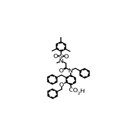 Cc1cc(C)c(S(=O)(=O)N(C)CC(=O)N(Cc2ccccc2)c2ccc(C(=O)O)c(OCc3ccccc3)c2Cc2ccccc2)c(C)c1